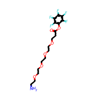 NCCOCCOCCOCCOCCC(=O)Oc1c(F)c(F)c(F)c(F)c1F